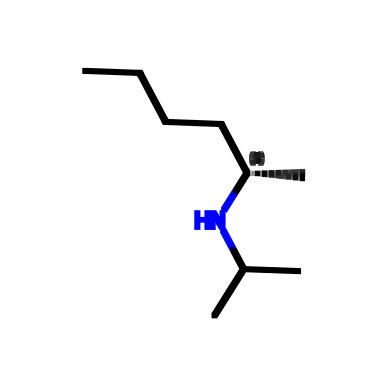 CCCC[C@H](C)NC(C)C